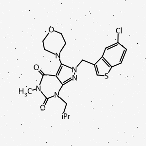 CC(C)Cn1c(=O)n(C)c(=O)c2c(N3CCOCC3)n(Cc3csc4ccc(Cl)cc34)nc21